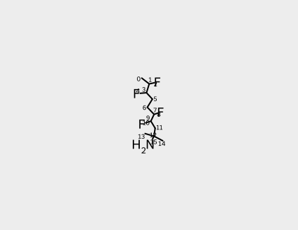 CC(F)C(F)CCC(F)C(F)CC(C)(C)N